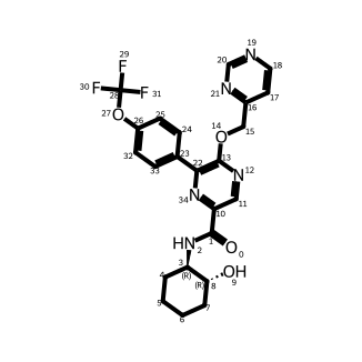 O=C(N[C@@H]1CCCC[C@H]1O)c1cnc(OCc2ccncn2)c(-c2ccc(OC(F)(F)F)cc2)n1